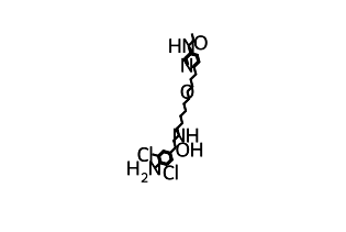 CC(=O)Nc1ccc(CCCOCCCCCCNCC(O)c2cc(Cl)c(N)c(Cl)c2)nc1